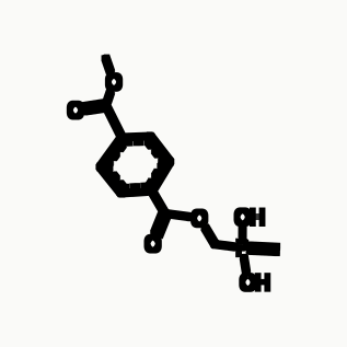 C=P(O)(O)COC(=O)c1ccc(C(=O)OC)cc1